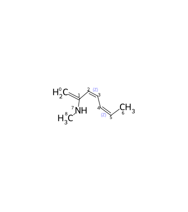 C=C(/C=C\C=C/C)NC